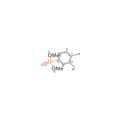 COP(=O)(OC)c1ccc(C)c(C)c1